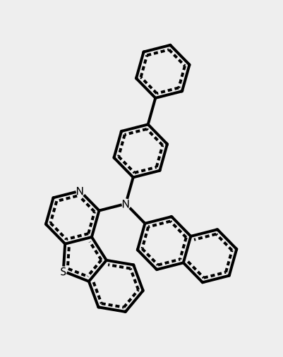 c1ccc(-c2ccc(N(c3ccc4ccccc4c3)c3nccc4sc5ccccc5c34)cc2)cc1